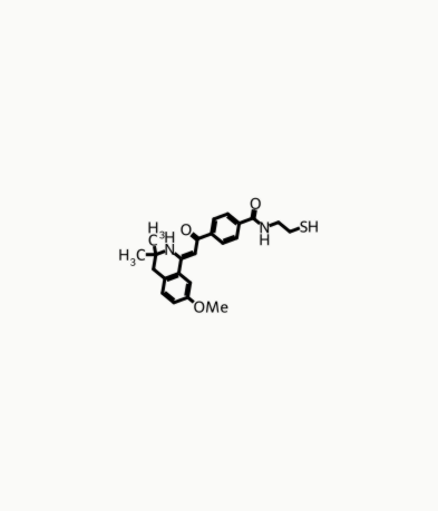 COc1ccc2c(c1)C(=CC(=O)c1ccc(C(=O)NCCS)cc1)NC(C)(C)C2